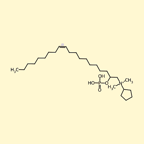 CCCCCCCC/C=C\CCCCCCCCC(C[N+](C)(C)C1CCCC1)OP(=O)(O)O